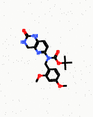 COc1ccc(CN(C(=O)OC(C)(C)C)c2ccc3c(n2)CNC(=O)N3)c(OC)c1